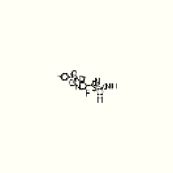 Cc1ccc(S(=O)(=O)n2ccc3c(-c4cnc(C5(O)CNC5)s4)c(F)cnc32)cc1